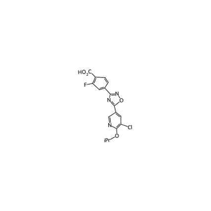 CC(C)Oc1ncc(-c2nc(-c3ccc(C(=O)O)c(F)c3)no2)cc1Cl